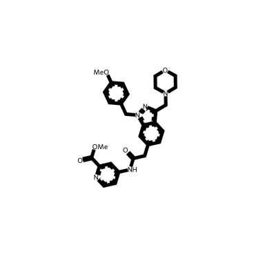 COC(=O)c1cc(NC(=O)Cc2ccc3c(CN4CCOCC4)nn(Cc4ccc(OC)cc4)c3c2)ccn1